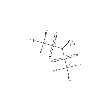 [CH2]C(S(=O)(=O)C(F)(F)F)S(=O)(=O)C(F)(F)F